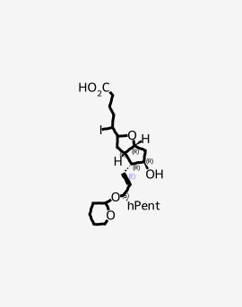 CCCCC[C@@H](/C=C/[C@@H]1[C@H]2CC(C(I)CCCC(=O)O)O[C@@H]2C[C@H]1O)OC1CCCCO1